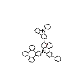 c1ccc(-c2ccc(N(c3ccc(-c4ccc5c(c4)c4ccccc4n5-c4ccccc4)cc3)c3ccc4c(c3)-c3ccccc3-c3ccccc3-c3ccccc3-4)c(-c3ccccc3)c2)cc1